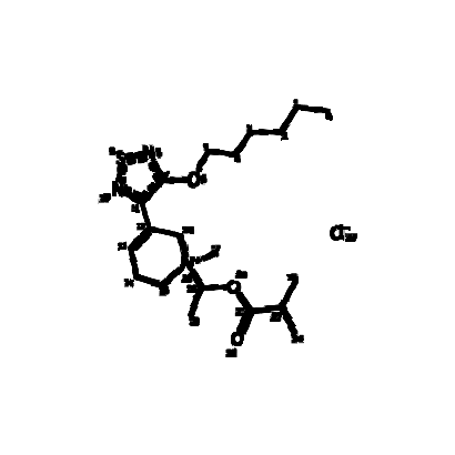 CCCCCCOc1nsnc1C1=CCC[N+](C)(C(C)OC(=O)C(C)C)C1.[Cl-]